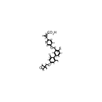 Cc1cc(OCC2(C)COC2)cc(C)c1-c1ccc(F)c(COc2ccc([C@H]3C[C@@H]3C(=O)O)nc2)c1